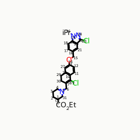 CCOC(=O)[C@H]1CCCN(CC2=C(Cl)c3ccc(OCc4ccc5c(c4)c(Cl)nn5C(C)C)cc3CC2)C1